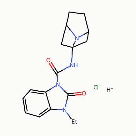 CCn1c(=O)n(C(=O)NC2CC3CCC(C2)N3C)c2ccccc21.[Cl-].[H+]